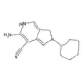 N#CC1=C(N)NC=C2CN(C3CCCCC3)C=C21